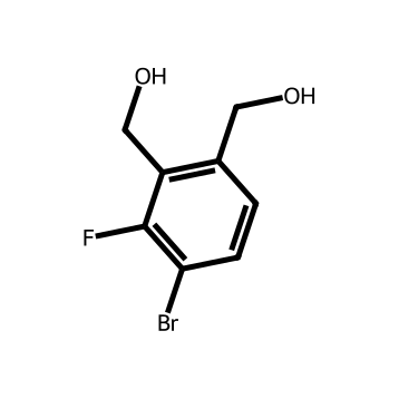 OCc1ccc(Br)c(F)c1CO